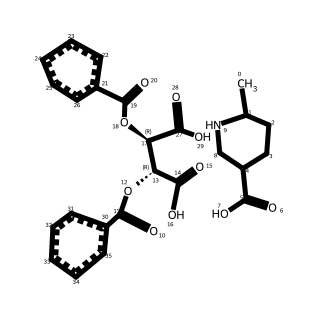 CC1CCC(C(=O)O)CN1.O=C(O[C@@H](C(=O)O)[C@@H](OC(=O)c1ccccc1)C(=O)O)c1ccccc1